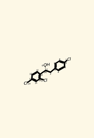 O[C@H](Cc1ccc(Cl)cc1)c1ccc(Cl)cc1Cl